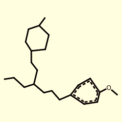 CCCC(CCCc1ccc(OC)cc1)CCC1CCC(C)CC1